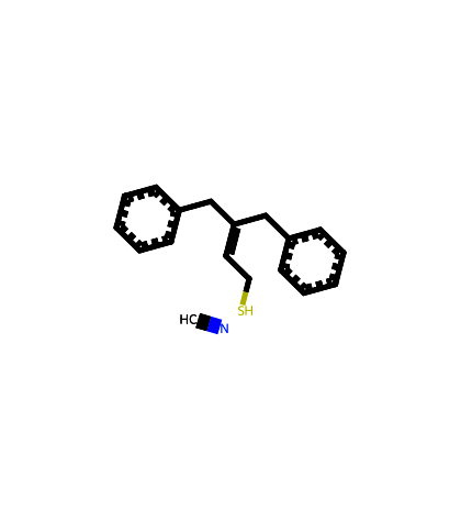 C#N.SCC=C(Cc1ccccc1)Cc1ccccc1